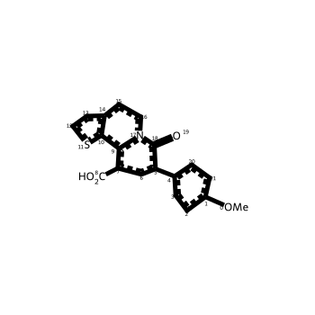 COc1ccc(-c2cc(C(=O)O)c3c4sccc4ccn3c2=O)cc1